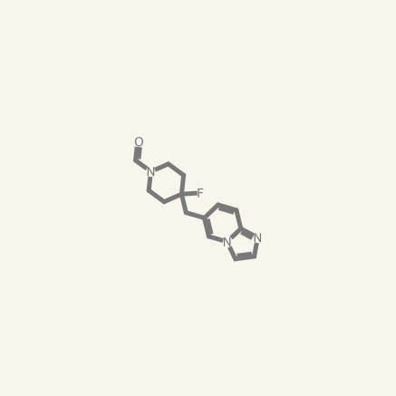 O=CN1CCC(F)(Cc2ccc3nccn3c2)CC1